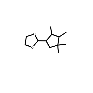 CC1C(C2OCCO2)CC(C)(C)C1C